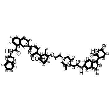 Cc1c(OCCN2CC(C)N(CC(=O)Nc3ccc4c(C5CCC(=O)NC5=O)nn(C)c4c3)C(C)C2)cccc1-c1ccc(N2CCc3cccc(C(=O)Nc4nc5ccccc5s4)c3C2)nc1C(=O)O